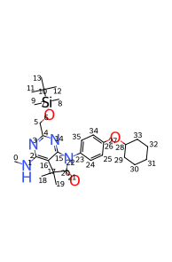 CNc1nc(CO[Si](C)(C)C(C)(C)C)nc2c1C(C)(C)C(=O)N2c1ccc(OC2CCCCC2)cc1